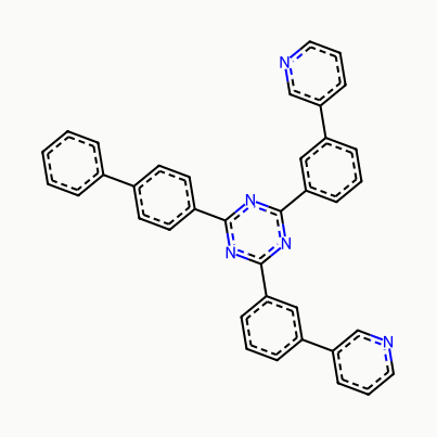 c1ccc(-c2ccc(-c3nc(-c4cccc(-c5cccnc5)c4)nc(-c4cccc(-c5cccnc5)c4)n3)cc2)cc1